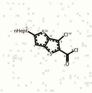 CCCCCCCc1cc2sc(C(=O)Cl)c(Cl)c2s1